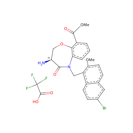 COC(=O)c1cccc2c1OC[C@H](N)C(=O)N2Cc1c(OC)ccc2cc(Br)ccc12.O=C(O)C(F)(F)F